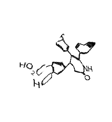 O=C1CC(c2ccc(C(=O)O)c(O)c2)C(c2ccsc2)=C(c2ccccc2)N1